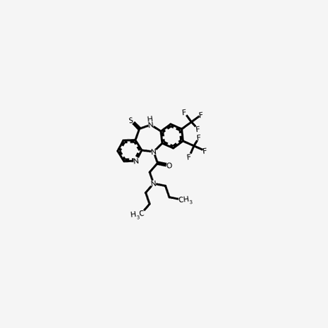 CCCN(CCC)CC(=O)N1c2cc(C(F)(F)F)c(C(F)(F)F)cc2NC(=S)c2cccnc21